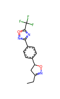 CCC1=NOC(c2ccc(-c3noc(C(F)(F)F)n3)cc2)C1